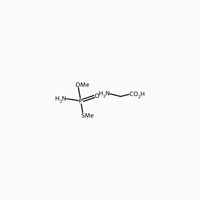 COP(N)(=O)SC.NCC(=O)O